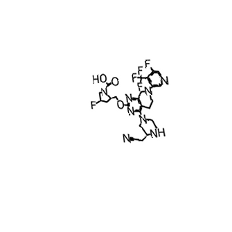 N#CC[C@H]1CN(c2nc(OCC3CC(F)CN3C(=O)O)nc3c2CCN(c2cncc(F)c2C(F)(F)F)C3)CCN1